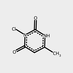 Cc1cc(=O)n(Cl)c(=O)[nH]1